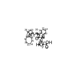 CCN(CC(C)(O)C(=O)O)c1nc2ccccc2n([C@@H](C)C[C@@H]2CCC(C)(C)N2C2CCCCCCC2)c1=O